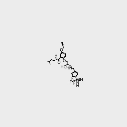 C#CCOc1ccc(OCC(O)CNCc2ccc(C3(C(F)(F)F)NN3)cc2)c(C(=O)NCCC(C)C)c1